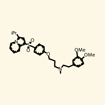 COc1ccc(CCN(C)CCCOc2ccc(S(=O)(=O)c3cc(C(C)C)n4ccccc34)cc2)cc1OC